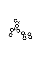 CC1(C)c2ccccc2-c2cc3c(cc21)c1cc(-c2ccc4c(c2)-c2ccccc2C4c2cccc4ccccc24)ccc1n3-c1cccc(-c2ccccc2)c1